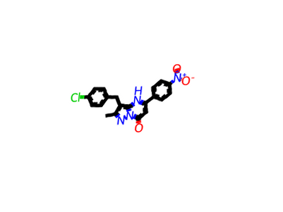 Cc1nn2c(=O)cc(-c3ccc([N+](=O)[O-])cc3)[nH]c2c1Cc1ccc(Cl)cc1